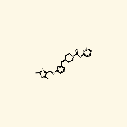 Cc1nc(C)c(COc2cccc(C=C3CCN(C(=O)Nc4cccnn4)CC3)c2)s1